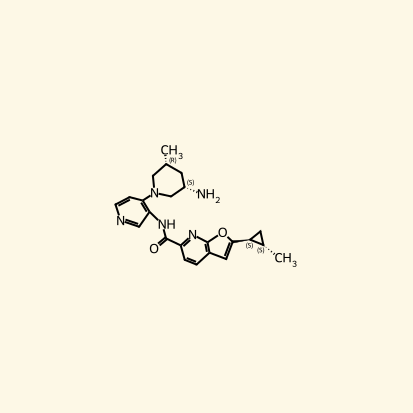 C[C@@H]1C[C@H](N)CN(c2ccncc2NC(=O)c2ccc3cc([C@H]4C[C@@H]4C)oc3n2)C1